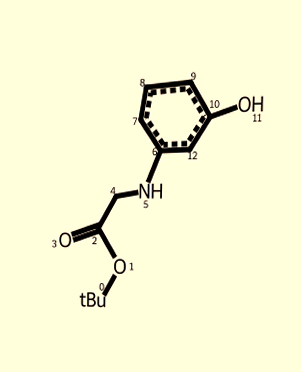 CC(C)(C)OC(=O)CNc1cccc(O)c1